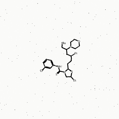 CCC(CCC1SC(CC)CN1C(=S)Nc1cccc(Cl)c1)CC(CC(C)(C)C)N1CCOCC1